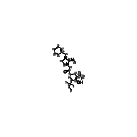 CCC(C)(C)c1cc(C(=O)CN2CCN(Cc3ccccc3)/C2=N/C)cc(C(C)(C)C)c1O